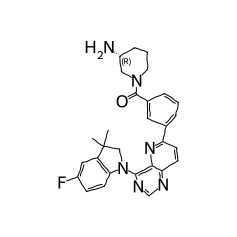 CC1(C)CN(c2ncnc3ccc(-c4cccc(C(=O)N5CCC[C@@H](N)C5)c4)nc23)c2ccc(F)cc21